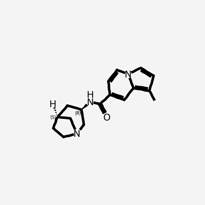 Cc1ccn2ccc(C(=O)N[C@@H]3C[C@@H]4CCN(C4)C3)cc12